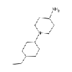 CCC1CCC(N2CCC(N)CC2)CC1